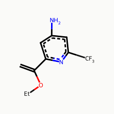 C=C(OCC)c1cc(N)cc(C(F)(F)F)n1